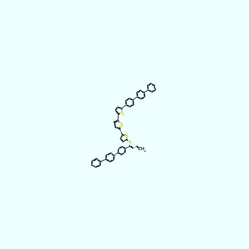 C=C/C=C(\Sc1ccc(-c2ccc(-c3ccc(-c4ccc(-c5ccc(-c6ccccc6)cc5)cc4)s3)s2)s1)c1ccc(-c2ccc(-c3ccccc3)cc2)cc1